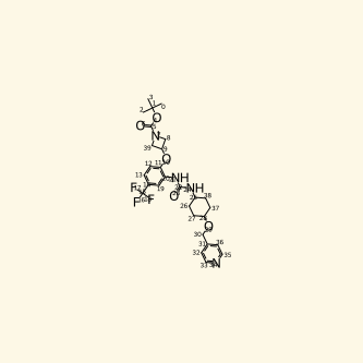 CC(C)(C)OC(=O)N1CC(Oc2ccc(C(F)(F)F)cc2NC(=O)NC2CCC(OCc3ccncc3)CC2)C1